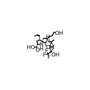 C/C=C\[C@@H]1C[C@H](C(=O)O)N[C@@]1(CCCCCO)[C@H](CO)NC(C)=O.O=C(O)C(F)(F)F